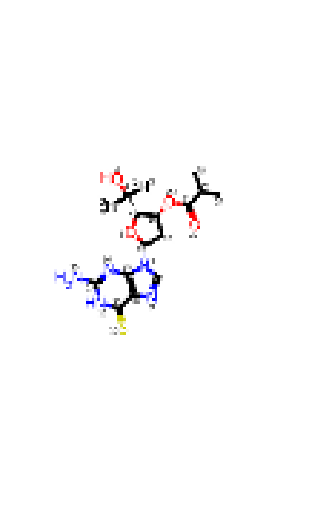 [2H]C([2H])(O)[C@H]1O[C@@H](n2cnc3c(=S)[nH]c(N)nc32)C[C@@H]1OC(=O)C(C)C